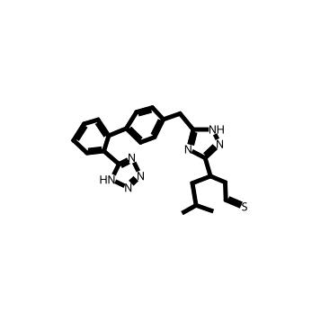 CC(C)CC(CC=S)c1n[nH]c(Cc2ccc(-c3ccccc3-c3nnn[nH]3)cc2)n1